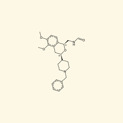 COc1ccc2c(c1OC)C[C@H](C1CCN(Cc3ccccc3)CC1)O[C@@H]2CNC=O